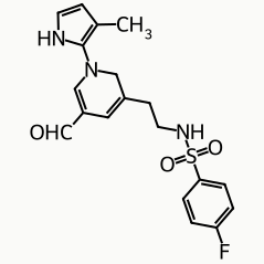 Cc1cc[nH]c1N1C=C(C=O)C=C(CCNS(=O)(=O)c2ccc(F)cc2)C1